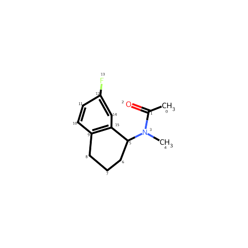 CC(=O)N(C)C1CCCc2ccc(F)cc21